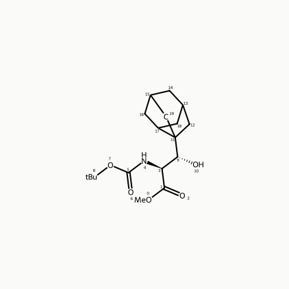 COC(=O)[C@@H](NC(=O)OC(C)(C)C)[C@@H](O)C12CC3CC(CC1C3)C2